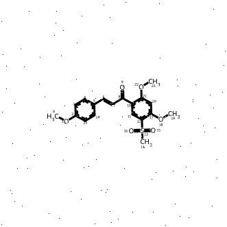 COc1ccc(C=CC(=O)c2cc(S(C)(=O)=O)c(OC)cc2OC)cc1